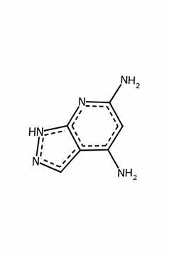 Nc1cc(N)c2cn[nH]c2n1